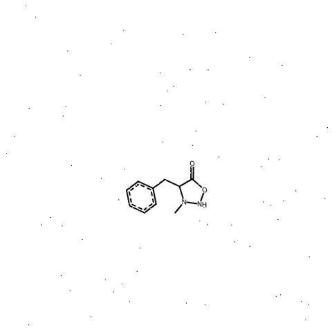 CN1NOC(=O)C1Cc1ccccc1